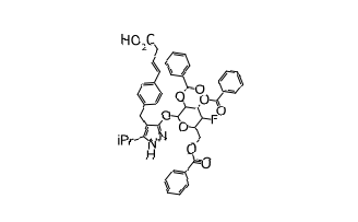 CC(C)c1[nH]nc(OC2OC(COC(=O)c3ccccc3)C(F)C(OC(=O)c3ccccc3)C2OC(=O)c2ccccc2)c1Cc1ccc(/C=C/CC(=O)O)cc1